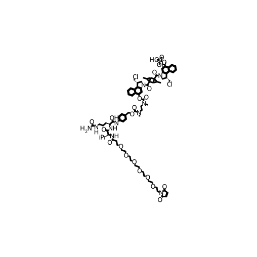 CC(C)[C@H](NC(=O)CCOCCOCCOCCOCCOCCOCCN1C(=O)C=CC1=O)C(=O)N[C@@H](CCCNC(N)=O)C(=O)Nc1ccc(COC(=O)N(C)CCN(C)C(=O)Oc2cc3c(c4ccccc24)[C@H](CCl)CN3C(=O)C23C(C)C2C2(C(=O)N4C[C@@H](CCl)c5c4cc(OP(=O)(O)O)c4ccccc54)C(C)C32)cc1